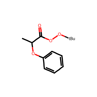 CC(Oc1ccccc1)C(=O)OOC(C)(C)C